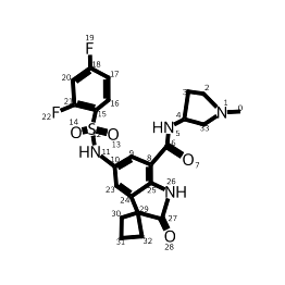 CN1CCC(NC(=O)c2cc(NS(=O)(=O)c3ccc(F)cc3F)cc3c2NC(=O)C32CCC2)C1